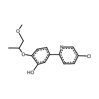 COCC(C)Oc1ccc(-c2ccc(Cl)cn2)cc1O